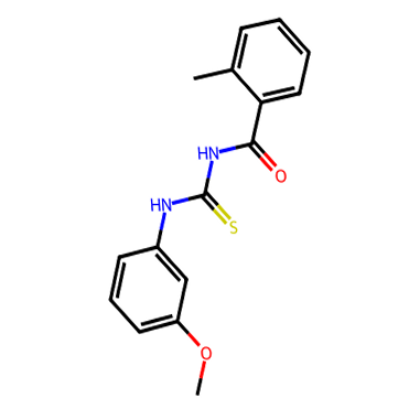 COc1cccc(NC(=S)NC(=O)c2ccccc2C)c1